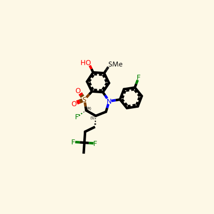 CSc1cc2c(cc1O)S(=O)(=O)[C@@H](F)[C@@H](CCC(C)(F)F)CN2c1cccc(F)c1